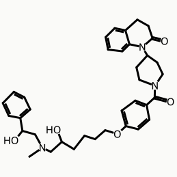 CN(CC(O)CCCCOc1ccc(C(=O)N2CCC(N3C(=O)CCc4ccccc43)CC2)cc1)CC(O)c1ccccc1